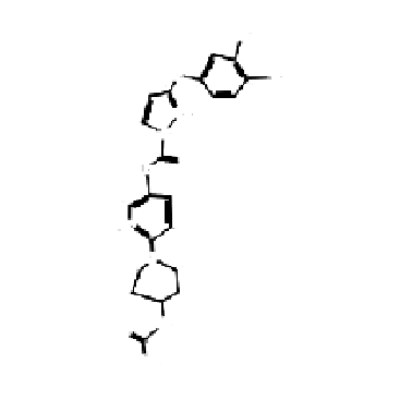 CC(=O)OC1CCN(c2ccc(NC(=O)n3ccc(Nc4ccc(F)c(F)c4)n3)cn2)CC1